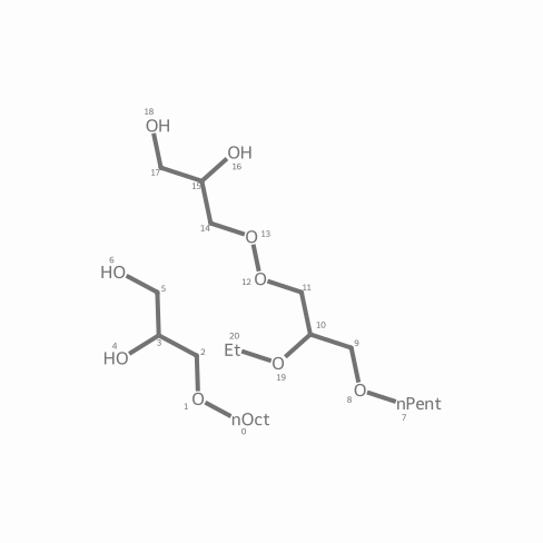 CCCCCCCCOCC(O)CO.CCCCCOCC(COOCC(O)CO)OCC